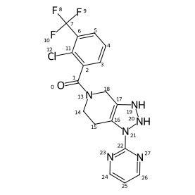 O=C(c1cccc(C(F)(F)F)c1Cl)N1CCC2=C(C1)NNN2c1ncccn1